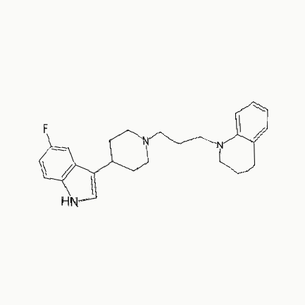 Fc1ccc2[nH]cc(C3CCN(CCCN4CCCc5ccccc54)CC3)c2c1